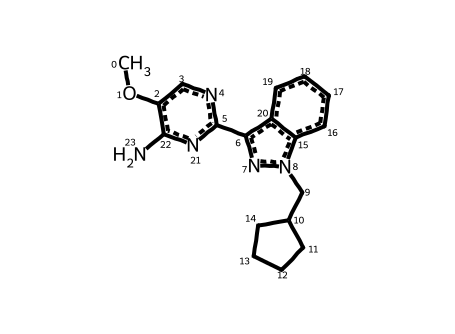 COc1cnc(-c2nn(CC3CCCC3)c3ccccc23)nc1N